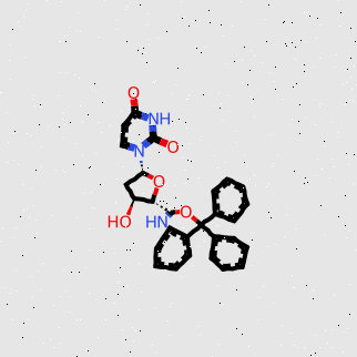 N=C(OC(c1ccccc1)(c1ccccc1)c1ccccc1)[C@H]1O[C@@H](n2ccc(=O)[nH]c2=O)C[C@@H]1O